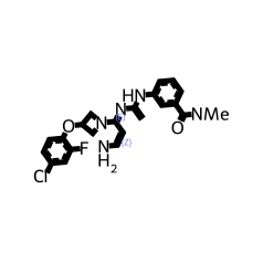 C=C(/N=C(\C=C/N)N1CC(Oc2ccc(Cl)cc2F)C1)Nc1cccc(C(=O)NC)c1